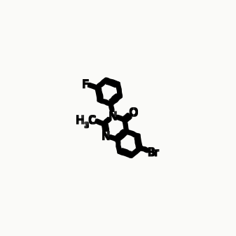 Cc1nc2ccc(Br)cc2c(=O)n1-c1cccc(F)c1